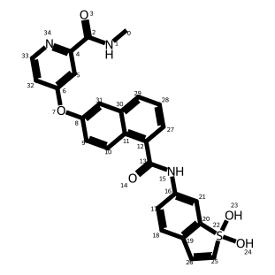 CNC(=O)c1cc(Oc2ccc3c(C(=O)Nc4ccc5c(c4)S(O)(O)C=C5)cccc3c2)ccn1